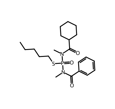 CCCCCSP(=O)(N(C)C(=O)c1ccccc1)N(C)C(=O)C1CCCCC1